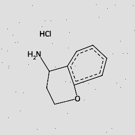 Cl.NC1CCOc2ccccc21